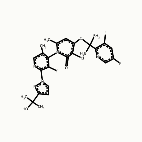 BC(B)(Oc1cc(C)n(-c2c(C)cnc(-n3ccc(C(C)(C)O)n3)c2F)c(=O)c1Cl)c1ncc(F)cc1F